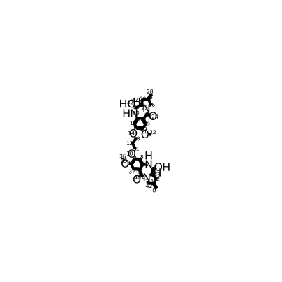 C=C1C[C@H]2C(O)Nc3cc(OCCCOc4cc5c(cc4OC)C(=O)N4CC(=C)C[C@H]4C(O)N5)c(OC)cc3C(=O)N2C1